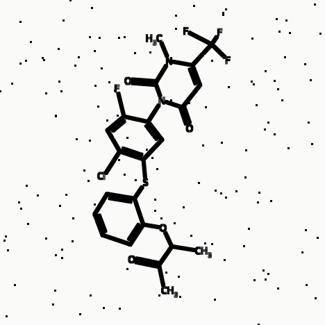 CC(=O)C(C)Oc1ccccc1Sc1cc(-n2c(=O)cc(C(F)(F)F)n(C)c2=O)c(F)cc1Cl